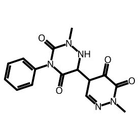 CN1N=CC(C2NN(C)C(=O)N(c3ccccc3)C2=O)C(=O)C1=O